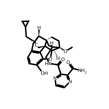 CO[C@]12CC[C@@]3(C[C@@H]1CNC(=O)c1nccnc1C(N)=O)[C@H]1Cc4ccc(O)c5c4[C@@]3(CCN1CC1CC1)[C@H]2O5